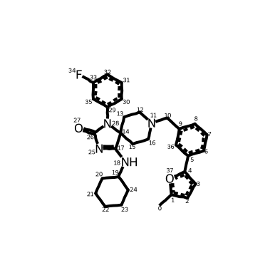 Cc1ccc(-c2cccc(CN3CCC4(CC3)C(NC3CCCCC3)=NC(=O)N4c3cccc(F)c3)c2)o1